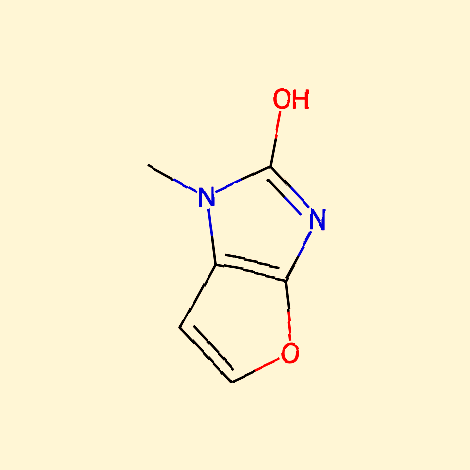 Cn1c(O)nc2occc21